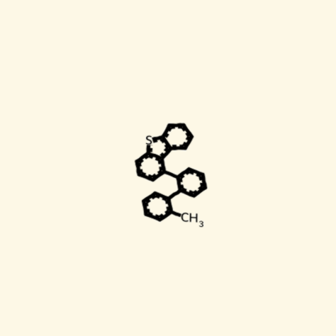 Cc1ccccc1-c1ccccc1-c1cccc2sc3ccccc3c12